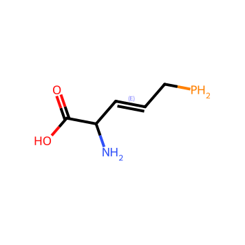 NC(/C=C/CP)C(=O)O